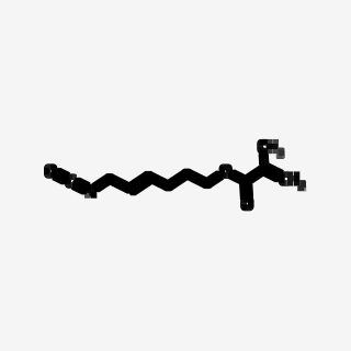 C=C(C)C(=O)OCCCC=CCN=C=O